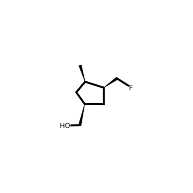 C[C@@H]1C[C@H](CO)C[C@@H]1CF